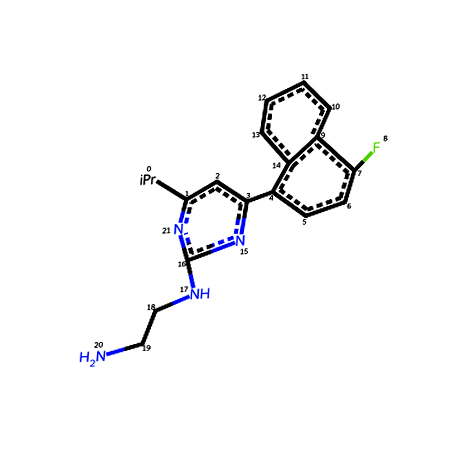 CC(C)c1cc(-c2ccc(F)c3ccccc23)nc(NCCN)n1